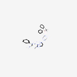 CCc1nc2ccc(N3CCN[C@H](CO[Si](c4ccccc4)(c4ccccc4)C(C)(C)C)C3)nn2c1N(C)c1nc(-c2ccc(F)cc2)c(C#N)s1